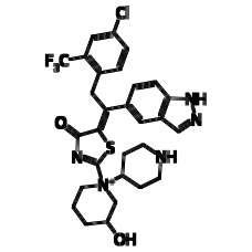 O=C1N=C([N+]2(C3CCNCC3)CCCC(O)C2)SC1=C(Cc1ccc(Cl)cc1C(F)(F)F)c1ccc2[nH]ncc2c1